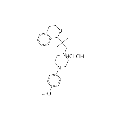 COc1ccc(N2CCN(CC(C)(C)C3OCCc4ccccc43)CC2)cc1.Cl.Cl